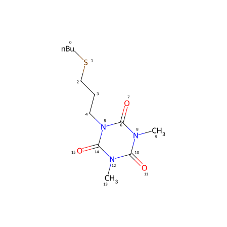 CCCCSCCCn1c(=O)n(C)c(=O)n(C)c1=O